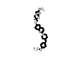 C[C@@]1(COc2ccc3nc(N4CCC(=Cc5ccc(OC(F)(F)F)cc5)CC4)ccc3c2)Cn2cc([N+](=O)[O-])nc2O1